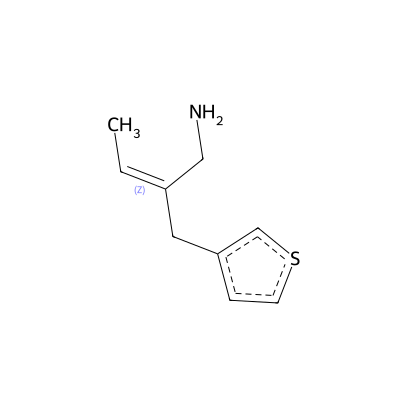 C/C=C(\CN)Cc1ccsc1